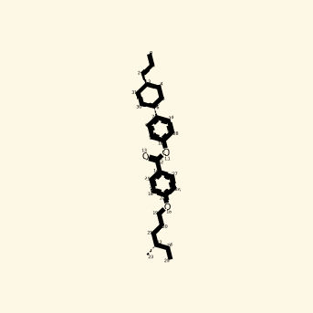 CCC[C@H]1CC[C@H](c2ccc(OC(=O)c3ccc(OCCC[C@@H](C)CC)cc3)cc2)CC1